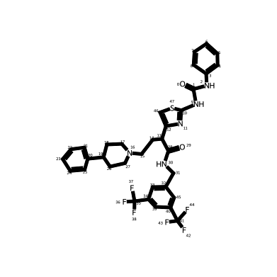 O=C(Nc1ccccc1)Nc1nc(C(CCN2CCC(c3ccccc3)CC2)C(=O)NCc2cc(C(F)(F)F)cc(C(F)(F)F)c2)cs1